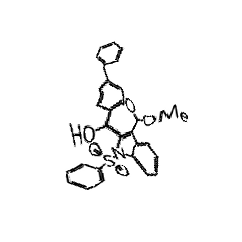 COC(=O)c1c(C(O)c2ccc(-c3ccccc3)cc2)n(S(=O)(=O)c2ccccc2)c2ccccc12